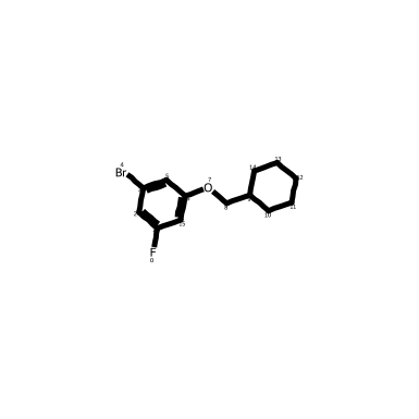 Fc1cc(Br)cc(OCC2CCCCC2)c1